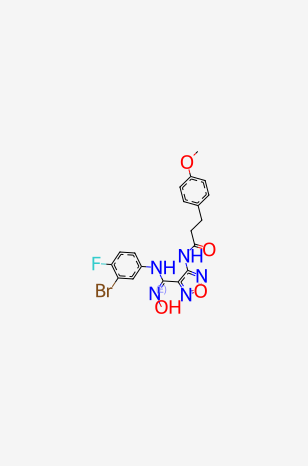 COc1ccc(CCC(=O)Nc2nonc2/C(=N\O)Nc2ccc(F)c(Br)c2)cc1